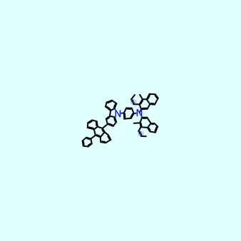 C/C=C\c1c(N(c2ccc(-n3c4ccccc4c4cc(-c5c6ccccc6c(-c6ccccc6)c6ccccc56)ccc43)cc2)c2cc3ccccc3c(/C=C\C)c2C)cc2ccccc2c1C